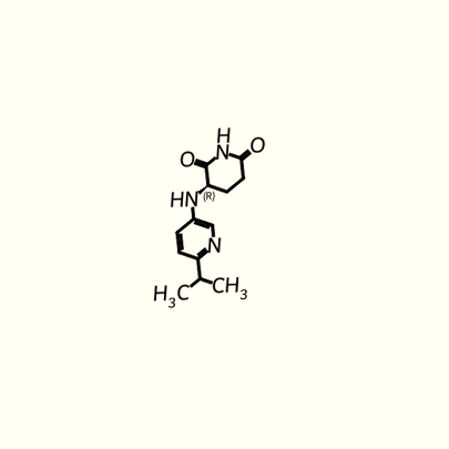 CC(C)c1ccc(N[C@@H]2CCC(=O)NC2=O)cn1